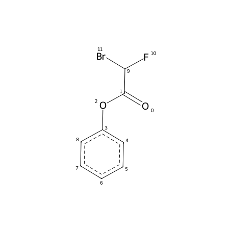 O=C(Oc1ccccc1)C(F)Br